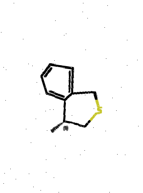 C[C@H]1CSCc2ccccc21